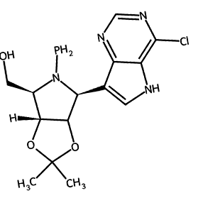 CC1(C)OC2[C@H](O1)[C@@H](CO)N(P)[C@H]2c1c[nH]c2c(Cl)ncnc12